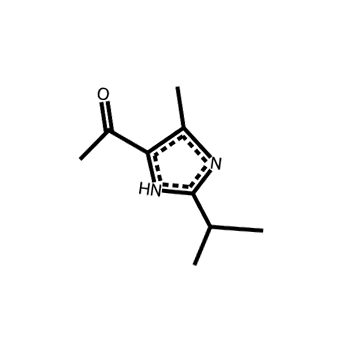 CC(=O)c1[nH]c(C(C)C)nc1C